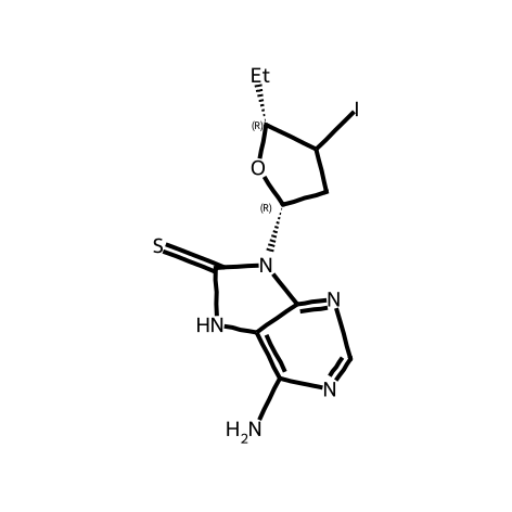 CC[C@H]1O[C@@H](n2c(=S)[nH]c3c(N)ncnc32)CC1I